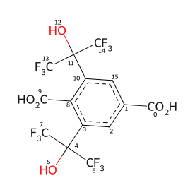 O=C(O)c1cc(C(O)(C(F)(F)F)C(F)(F)F)c(C(=O)O)c(C(O)(C(F)(F)F)C(F)(F)F)c1